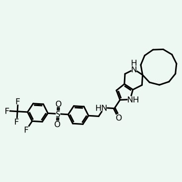 O=C(NCc1ccc(S(=O)(=O)c2ccc(C(F)(F)F)c(F)c2)cc1)c1cc2c([nH]1)CC1(CCCCCCCCCC1)NC2